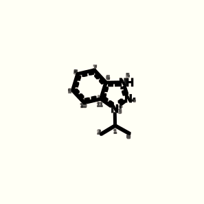 CC(C)[n+]1n[nH]c2ccccc21